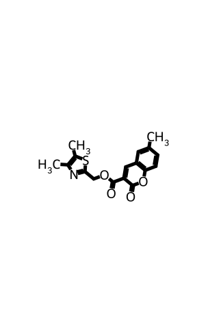 Cc1ccc2oc(=O)c(C(=O)OCc3nc(C)c(C)s3)cc2c1